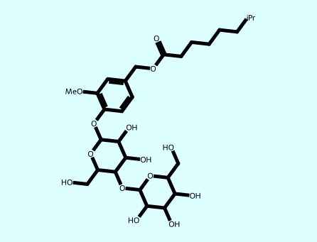 COc1cc(COC(=O)CCCCCC(C)C)ccc1OC1OC(CO)C(OC2OC(CO)C(O)C(O)C2O)C(O)C1O